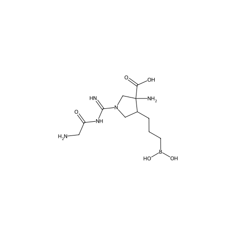 N=C(NC(=O)CN)N1CC(CCCB(O)O)C(N)(C(=O)O)C1